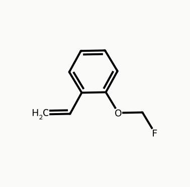 C=Cc1ccccc1OCF